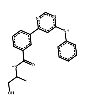 O=C(NC(I)CO)c1cccc(-c2cc(Nc3ccccc3)ncn2)c1